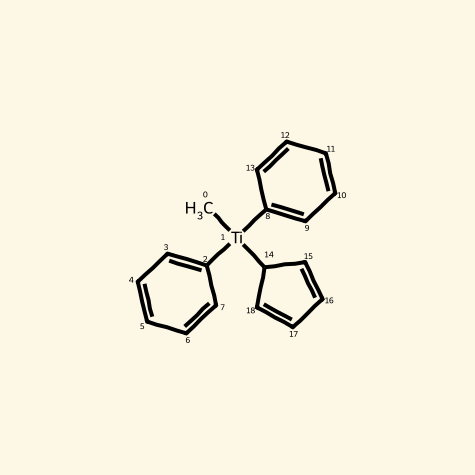 [CH3][Ti]([c]1ccccc1)([c]1ccccc1)[CH]1C=CC=C1